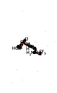 C[C@@H]1C[C@@H](O)c2ncnc(N3CCN(C(=O)[C@H](CNCCNC(=O)CN4CCN(CC5CCN(Cc6cc(N)ccc6OCc6ccc(F)c(C(F)(F)F)c6)CC5)CC4)c4ccc(Cl)cc4)CC3)c21